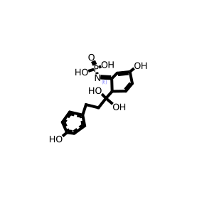 O=P(O)(O)/N=C1\C=C(O)C=CC1C(O)(O)CCc1ccc(O)cc1